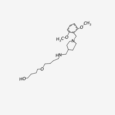 COc1cccc(OC)c1CN1CCC(CNCCCCOCCCCO)CC1